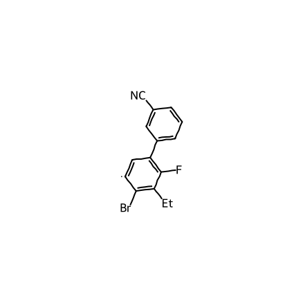 CCc1c(Br)[c]cc(-c2cccc(C#N)c2)c1F